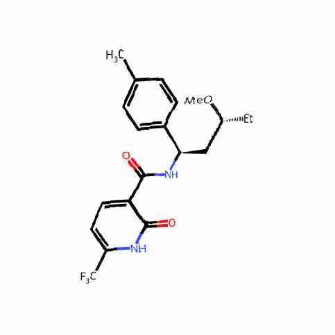 CC[C@H](C[C@@H](NC(=O)c1ccc(C(F)(F)F)[nH]c1=O)c1ccc(C)cc1)OC